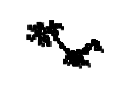 Cc1ncoc1-c1ccc(CNC(=O)[C@@H]2C[C@@H](C)CN2C(=O)C(NC(=O)COCCOCCCOc2ccc([C@@H](C)NC(=O)C[C@@H]3N=C(c4ccc(Cl)cc4)c4c(sc(C)c4C)-n4c(C)nnc43)cc2)C(C)(C)C)cc1